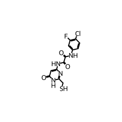 O=C(Nc1ccc(Cl)c(F)c1)C(=O)Nc1cc(=O)[nH]c(CS)n1